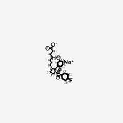 O=C([O-])CCCCCC[C@@H]1CCN(S(=O)(=O)c2ccc(F)cc2)[C@@H]1c1cccc(O)c1.[Na+]